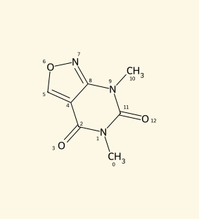 Cn1c(=O)c2conc2n(C)c1=O